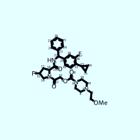 COCCN1CCN(C(=O)OCC(=O)N2CC(F)CC2C(=O)NC(c2ccccc2)c2ccc(C3CC3)c(F)c2)CC1